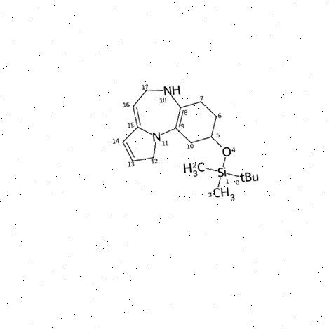 CC(C)(C)[Si](C)(C)OC1CCC2=C(C1)N1CC=CC1=CCN2